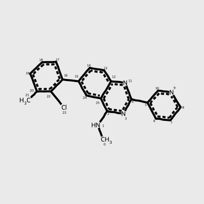 CNc1nc(-c2cccnc2)nc2ccc(-c3cccc(C)c3Cl)cc12